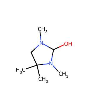 CN1CC(C)(C)N(C)C1O